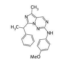 COc1ccc(Nc2ncc3c(C)nc(C(C)c4ccccc4)n3n2)cc1